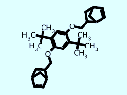 CC(C)(C)c1cc(OCC2CC3C=CC2C3)c(C(C)(C)C)cc1OCC1CC2C=CC1C2